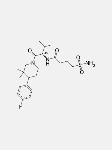 CC(C)[C@@H](NC(=O)CCCS(N)(=O)=O)C(=O)N1CCC(c2ccc(F)cc2)C(C)(C)C1